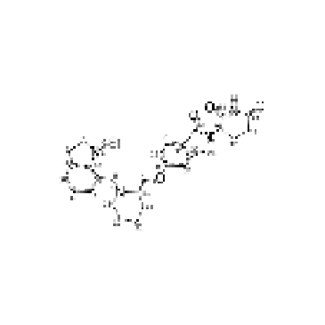 CCN1CCc2cccc(CN3CCCC[C@@H]3COc3ccc4c(c3)CN(C3CCC(=O)NC3=O)C4=O)c21